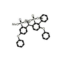 COP(=O)(OC)c1cc(Oc2ccccc2)ccc1C(C)c1ccc(Oc2ccccc2)c(-c2ccccc2)c1P(=O)(OC)OC